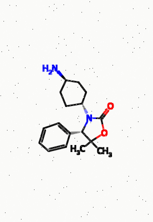 CC1(C)OC(=O)N([C@H]2CC[C@H](N)CC2)[C@H]1c1ccccc1